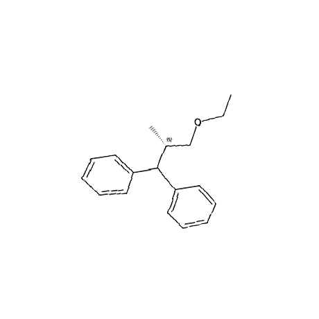 CCOC[C@@H](C)C(c1ccccc1)c1ccccc1